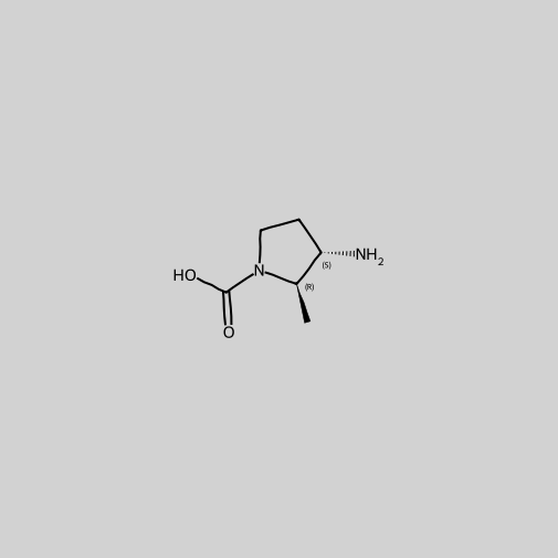 C[C@@H]1[C@@H](N)CCN1C(=O)O